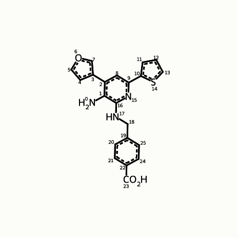 Nc1c(-c2ccoc2)cc(-c2cccs2)nc1NCc1ccc(C(=O)O)cc1